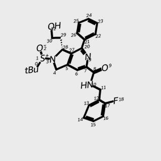 CC(C)(C)[S+]([O-])N1Cc2cc(C(=O)NCc3ccccc3F)nc(-c3ccccc3)c2[C@H]1CCO